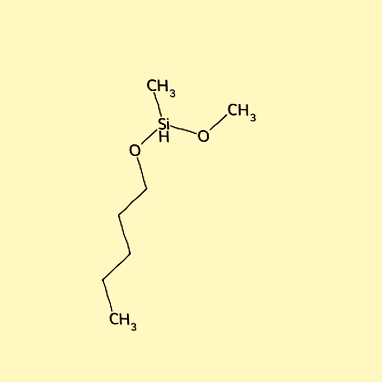 CCCCCO[SiH](C)OC